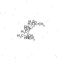 CCCC(C)(CCC(C)(CCCCCC(C)(CCC)OC)C(=O)OC)NC